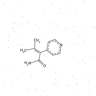 CC(C)=C(C(N)=O)c1ccncc1